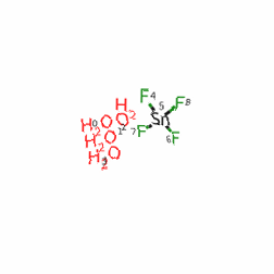 O.O.O.O.[F][Sn]([F])([F])[F]